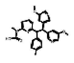 COc1cncc(C(c2cncc(OC)c2)C(c2ccc(F)cc2)c2cccc(N(C)C(=O)O)n2)c1